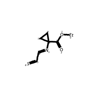 CCOC(=O)C1(N=CC=S)CC1